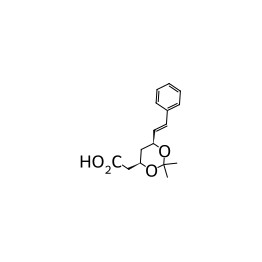 CC1(C)O[C@@H](CC(=O)O)C[C@@H](/C=C/c2ccccc2)O1